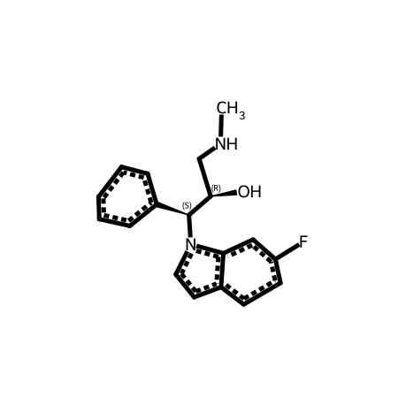 CNC[C@@H](O)[C@H](c1ccccc1)n1ccc2ccc(F)cc21